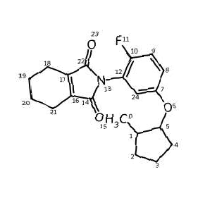 CC1CCCC1Oc1ccc(F)c(N2C(=O)C3=C(CCCC3)C2=O)c1